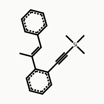 C/C(=C\c1ccccc1)c1ccccc1C#C[Si](C)(C)C